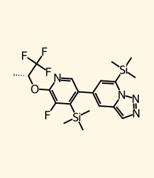 C[C@@H](Oc1ncc(-c2cc([Si](C)(C)C)n3nncc3c2)c([Si](C)(C)C)c1F)C(F)(F)F